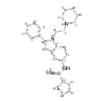 N=C(Nc1ccc2c(c1)cc(-c1ccccc1)n2CCN1CCCCC1)c1cccs1